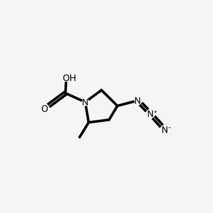 CC1CC(N=[N+]=[N-])CN1C(=O)O